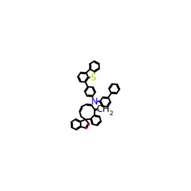 C=C1/C(N(c2ccc(-c3cccc4c3sc3ccccc34)cc2)c2cccc(-c3ccccc3)c2)=C\C=C/CC2(c3ccccc31)c1ccccc1-c1ccccc12